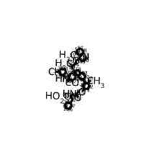 Cc1ccc(OCC(=O)N[C@@H](Cc2ccccc2)C(=O)O)cc1-c1ccc2c(c1)C1(CCC(Nc3cccc(Cl)c3)(C(=O)O)CC1)[C@@H](C[C@@H](C)COc1ccnc3c1[C@H](C)CCC3)C2